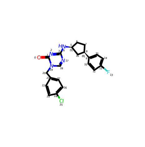 O=c1nc(N[C@H]2CC[C@@H](c3ccc(F)cc3)C2)ncn1Cc1ccc(Cl)cc1